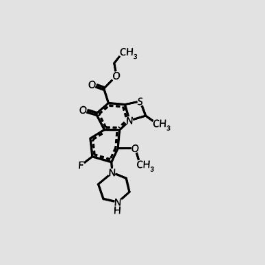 CCOC(=O)c1c2n(c3c(OC)c(N4CCNCC4)c(F)cc3c1=O)C(C)S2